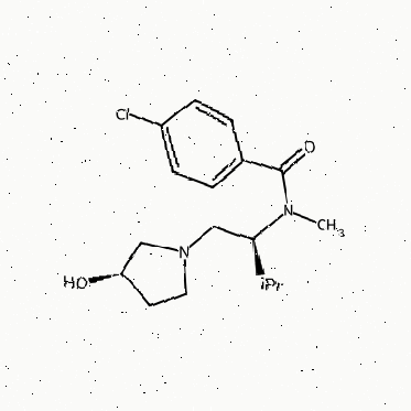 CC(C)[C@@H](CN1CC[C@@H](O)C1)N(C)C(=O)c1ccc(Cl)cc1